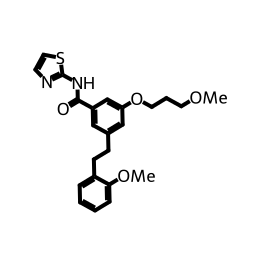 COCCCOc1cc(CCc2ccccc2OC)cc(C(=O)Nc2nccs2)c1